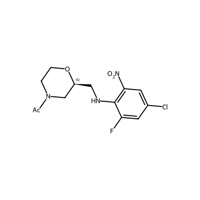 CC(=O)N1CCO[C@@H](CNc2c(F)cc(Cl)cc2[N+](=O)[O-])C1